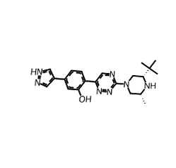 C[C@@H]1CN(c2ncc(-c3ccc(-c4cn[nH]c4)cc3O)nn2)C[C@H](C(C)(C)C)N1